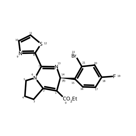 CCOC(=O)C1=C2CCCN2C(c2nccs2)=N[C@H]1c1ccc(F)cc1Br